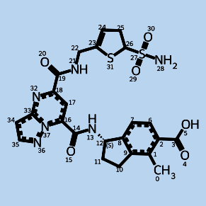 Cc1c(C(=O)O)ccc2c1CC[C@@H]2NC(=O)c1cc(C(=O)NCC2=CCC(S(N)(=O)=O)S2)nc2ccnn12